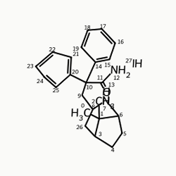 CC1(C)C2CCC1NC(CC(C(N)=O)(c1ccccc1)c1ccccc1)C2.I